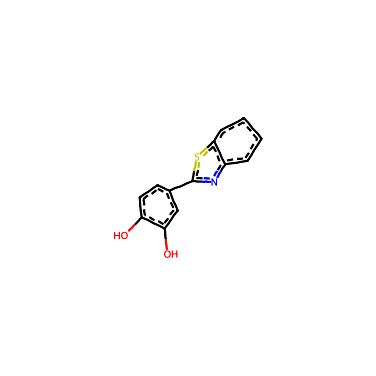 Oc1ccc(-c2nc3ccccc3s2)cc1O